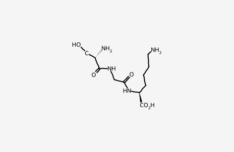 NCCCC[C@H](NC(=O)CNC(=O)[C@@H](N)CO)C(=O)O